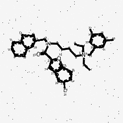 CC[N+](CC)(CCCCN(Cc1ccc2ccccc2c1)C(=O)c1cc2cc(Cl)ccc2o1)Cc1cc(C)cc(C)c1